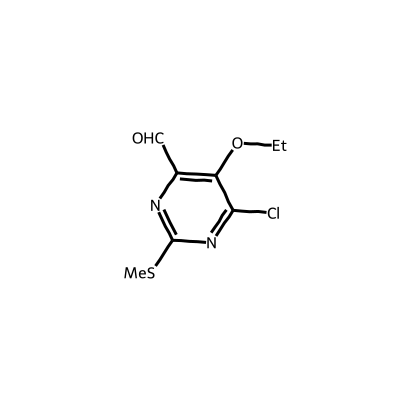 CCOc1c(Cl)nc(SC)nc1C=O